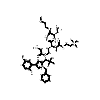 CSCCOC(=O)[C@@H](CN)NC(=O)[C@H](CCN(C(=O)CO)[C@@H](c1cc(-c2cc(F)ccc2F)cn1Cc1ccccc1)C(C)(C)C)NC(=O)OCC[Si](C)(C)C